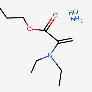 C=C(C(=O)OCCC)N(CC)CC.Cl.N